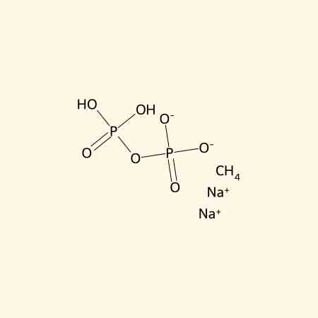 C.O=P([O-])([O-])OP(=O)(O)O.[Na+].[Na+]